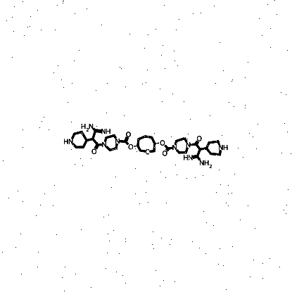 N=C(N)C(C(=O)N1CCN(C(=O)O[C@H]2CCC[C@@H](OC(=O)N3CCN(C(=O)C(C(=N)N)C4CCNCC4)CC3)CCC2)CC1)C1CCNCC1